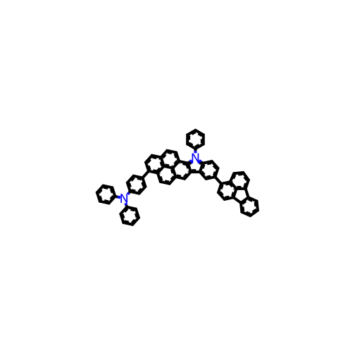 c1ccc(N(c2ccccc2)c2ccc(-c3ccc4ccc5c6c(ccc3c46)cc3c4cc(-c6ccc7c8c(cccc68)-c6ccccc6-7)ccc4n(-c4ccccc4)c35)cc2)cc1